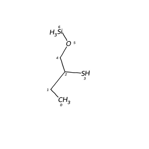 CCC(S)CO[SiH3]